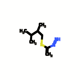 C=C(N=N)SCC(C)C(C)C